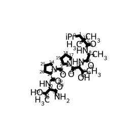 CC(C)CC(C)(C)C(=O)N[C@H](C)C(=O)N[C@H](C(=O)N1CCC[C@H]1C(=O)N1CCC[C@H]1C(=O)N[C@H](C(N)=O)[C@@H](C)O)[C@@H](C)O